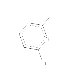 Cc1cccc([SiH3])n1